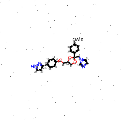 COc1ccc(C2(Cn3ccnc3)OCC(COc3ccc(-c4cc[nH]n4)cc3)O2)cc1